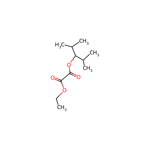 CCOC(=O)C(=O)OC(C(C)C)C(C)C